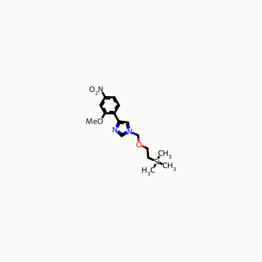 COc1cc([N+](=O)[O-])ccc1-c1cn(COCC[Si](C)(C)C)cn1